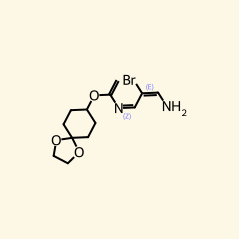 C=C(/N=C\C(Br)=C/N)OC1CCC2(CC1)OCCO2